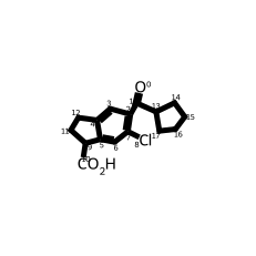 O=C(c1cc2c(cc1Cl)C(C(=O)O)CC2)C1CCCC1